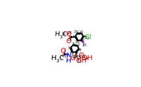 CC(=O)Nc1ccccc1[As](=O)(O)OO.COC(=O)c1ccc(Cl)c(I)c1